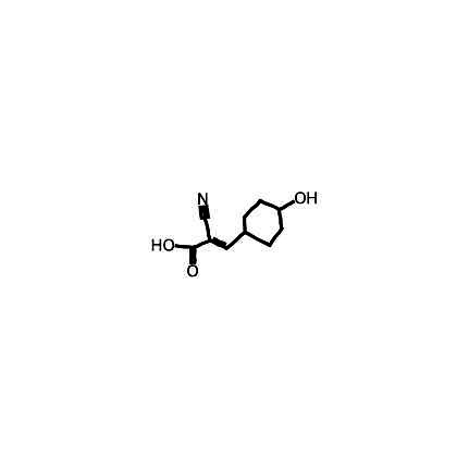 N#C/C(=C\C1CCC(O)CC1)C(=O)O